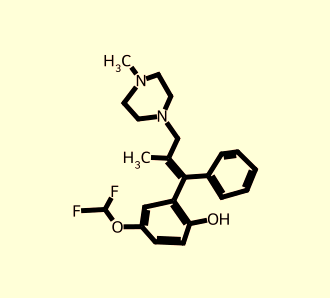 C/C(CN1CCN(C)CC1)=C(/c1ccccc1)c1cc(OC(F)F)ccc1O